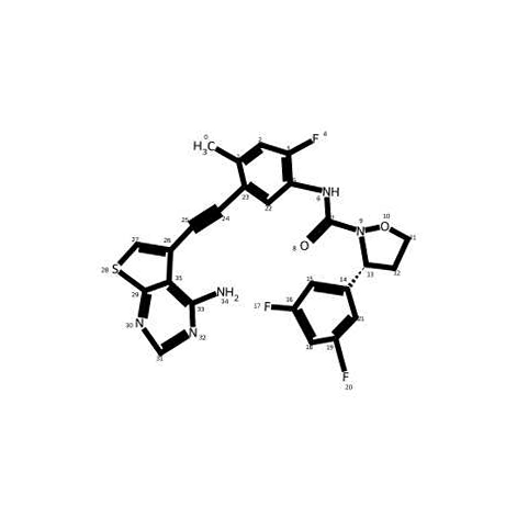 Cc1cc(F)c(NC(=O)N2OCC[C@@H]2c2cc(F)cc(F)c2)cc1C#Cc1csc2ncnc(N)c12